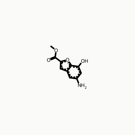 COC(=O)c1cc2cc(N)cc(O)c2o1